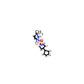 C[n+]1ccn(S(=O)(=O)N2CCC(C3CCCC3)CC2)c1